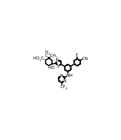 CC1(C)C[C@@](O)(c2ncc(-c3cc(Nc4nccc(C(F)(F)F)n4)cc(-c4ccc(C#N)c(F)c4)c3)s2)CC[C@@H]1C(=O)O